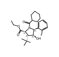 CCOC(=O)[C@@H]1[C@@H](C(C)(C)C)[C@H](O)[C@H](c2ccccc2F)N1C(=O)C1CCCCC1